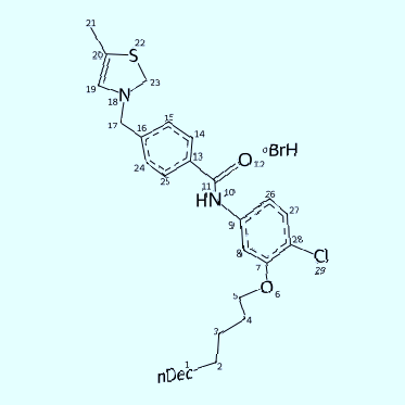 Br.CCCCCCCCCCCCCCOc1cc(NC(=O)c2ccc(CN3C=C(C)SC3)cc2)ccc1Cl